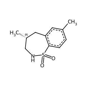 Cc1ccc2c(c1)C[C@@H](C)CNS2(=O)=O